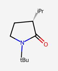 CC(C)[C@H]1CCN(C(C)(C)C)C1=O